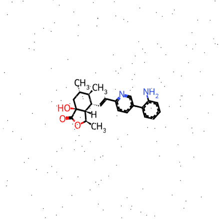 C[C@H]1[C@H](/C=C/c2ccc(-c3ccccc3N)cn2)[C@@H]2[C@@H](C)OC(=O)[C@]2(O)C[C@@H]1C